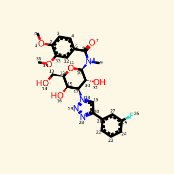 COc1ccc(C(=O)N(C)[C@@H]2O[C@H](CO)[C@H](O)[C@H](n3cc(-c4cccc(F)c4)nn3)[C@H]2O)cc1OC